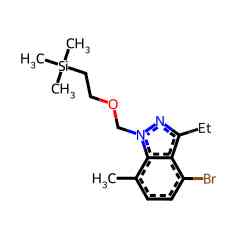 CCc1nn(COCC[Si](C)(C)C)c2c(C)ccc(Br)c12